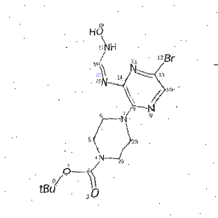 CC(C)(C)OC(=O)N1CCN(c2ncc(Br)nc2/N=C\NO)CC1